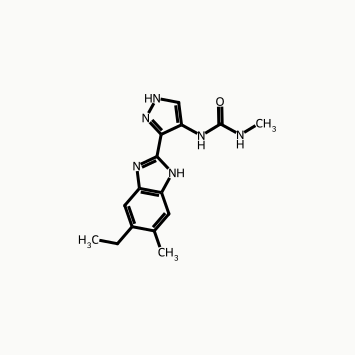 CCc1cc2nc(-c3n[nH]cc3NC(=O)NC)[nH]c2cc1C